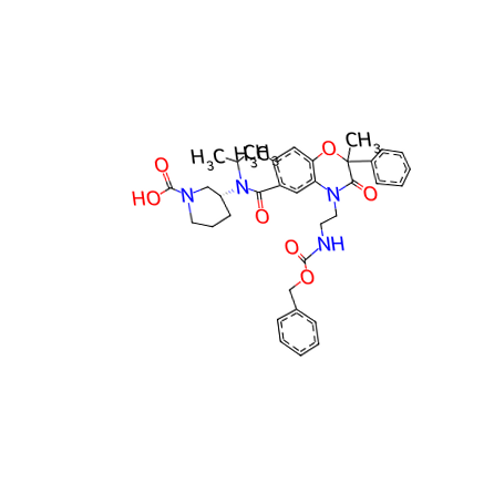 Cc1cc2c(cc1C(=O)N(C(C)C)[C@@H]1CCCN(C(=O)O)C1)N(CCNC(=O)OCc1ccccc1)C(=O)C(C)(c1ccccc1)O2